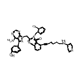 Nc1ncnc2c1c(-c1ccc(O)cc1)nn2Cc1nc2cccc(C#CCCCCNc3ccncc3)c2c(=O)n1Cc1ccccc1Cl